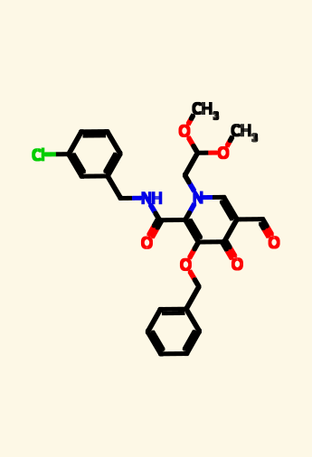 COC(Cn1cc(C=O)c(=O)c(OCc2ccccc2)c1C(=O)NCc1cccc(Cl)c1)OC